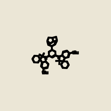 CC(C)(C)C1=CCC2C(=C1)C1(CCCCC1)C(C)(C)N2C1C=C(N2C3C=CC(C(C)(C)C)=CC3C3(CCCCC3)C2(C)C)CC(C2C=C3CC4CC(C2)CC34)C1